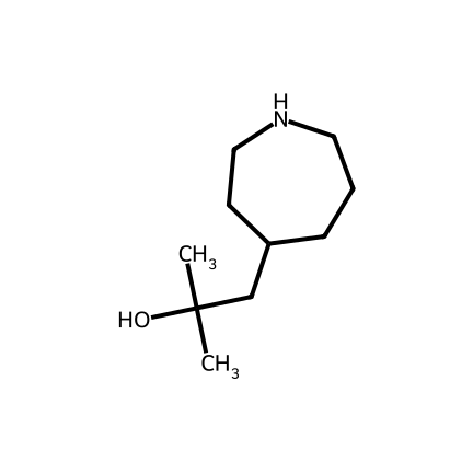 CC(C)(O)CC1CCCNCC1